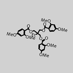 CCC(COC(=O)c1ccc(OC)cc1OC)(COC(=O)c1ccc(OC)cc1OC)COC(=O)c1ccc(OC)cc1OC